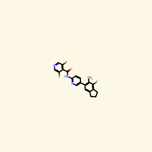 Cc1c(-c2ccc(NC(=O)c3c(F)cncc3F)nc2)cc2c(c1F)CCC2